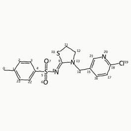 Cc1ccc(S(=O)(=O)N=C2SCCN2Cc2ccc(Cl)nc2)cc1